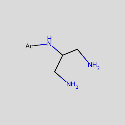 CC(=O)NC(CN)CN